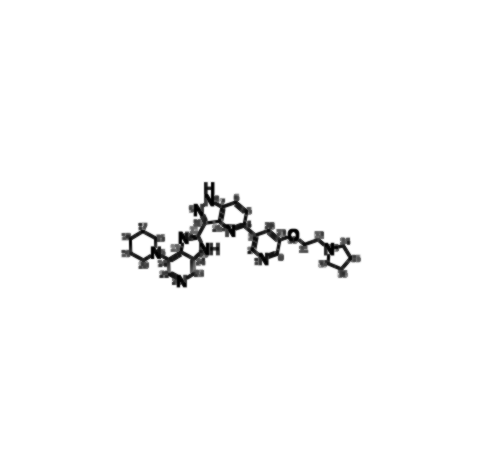 c1ncc(-c2ccc3[nH]nc(-c4nc5c(N6CCCCC6)cncc5[nH]4)c3n2)cc1OCCN1CCCC1